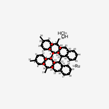 Cc1ccc(P(c2ccc(C)cc2)c2ccc3ccccc3c2-c2c(P(c3ccc(C)cc3)c3ccc(C)cc3)ccc3ccccc23)cc1.Cl.Cl.[Ru]